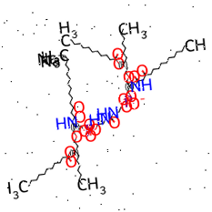 CCCCCCCCCCCC(=O)CC(=O)N[C@H](COCC[C@@H](CCCCCCC)OC(=O)CCCCCCCCCCC)COP(=O)([O-])OCCNC(=O)NCCOP(=O)([O-])OC[C@@H](COCC[C@@H](CCCCCCC)OC(=O)CCCCCCCCCCC)NC(=O)CC(=O)CCCCCCCCCCC.[Na+].[Na+]